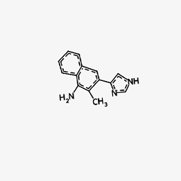 Cc1c(-c2c[nH]cn2)cc2ccccc2c1N